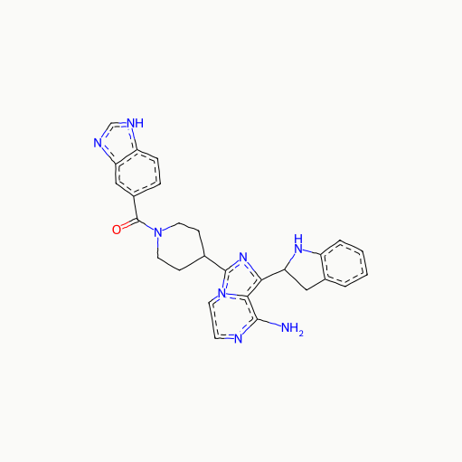 Nc1nccn2c(C3CCN(C(=O)c4ccc5[nH]cnc5c4)CC3)nc(C3Cc4ccccc4N3)c12